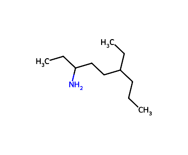 CCCC(CC)CCC(N)CC